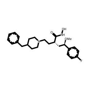 CO[C@H](C[C@H](CCN1CCC(Cc2ccccc2)CC1)C(=O)NO)c1ccc(F)cc1